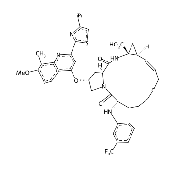 COc1ccc2c(O[C@@H]3C[C@H]4C(=O)N[C@]5(C(=O)O)C[C@H]5/C=C\CCCCC[C@H](Nc5cccc(C(F)(F)F)c5)C(=O)N4C3)cc(-c3nc(C(C)C)cs3)nc2c1C